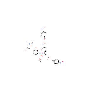 CN[C@@H](C)[C@@H](O)[C@H](OCCO)O[C@@H]1[C@@H](O)[C@H](O[C@H]2OC(CNC(=O)OCc3ccc([N+](=O)[O-])cc3)=CC[C@H]2NC(=O)OCc2ccc([N+](=O)[O-])cc2)[C@@H](NC(=O)OC(C)(C)C)C[C@H]1N